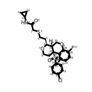 O=C(CSCC[C@@H]1OCC[C@@]2(S(=O)(=O)c3ccc(Cl)cc3)c3c(F)ccc(F)c3OC[C@@H]12)NC1CC1